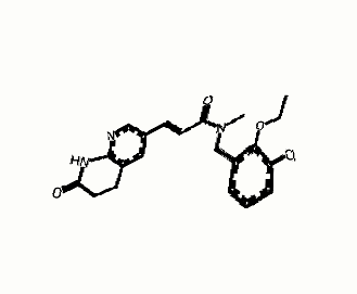 CCOc1c(Cl)cccc1CN(C)C(=O)C=Cc1cnc2c(c1)CCC(=O)N2